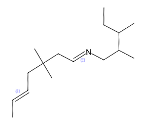 C/C=C/CC(C)(C)C/C=N/CC(C)C(C)CC